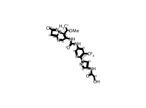 CO[C@@H](C)c1c(NC(=O)Nc2cnc(-n3cc(NC(=O)CO)cn3)c(C(F)(F)F)c2)cnc2cc(Cl)nn12